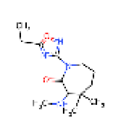 CCc1nc(N2CCCC(C)(C)C(NC)C2=O)no1